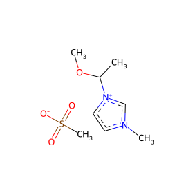 COC(C)[n+]1ccn(C)c1.CS(=O)(=O)[O-]